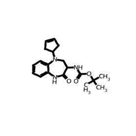 CC(C)(C)OC(=O)NC1CN(C2CC=CC2)c2ccccc2NC1=O